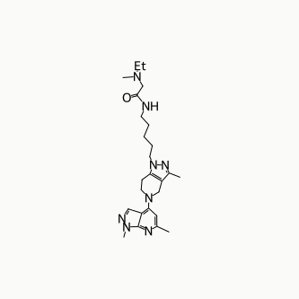 CCN(C)CC(=O)NCCCCCn1nc(C)c2c1CCN(c1cc(C)nc3c1cnn3C)C2